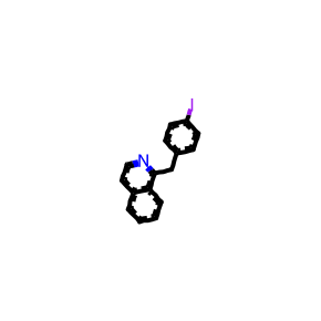 Ic1ccc(Cc2nccc3ccccc23)cc1